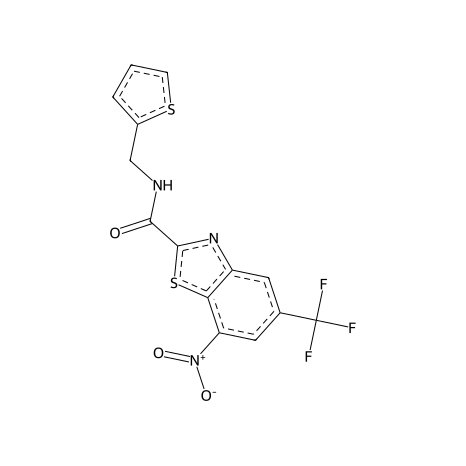 O=C(NCc1cccs1)c1nc2cc(C(F)(F)F)cc([N+](=O)[O-])c2s1